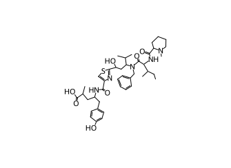 CCC(C)C(NC(=O)C1CCCCN1C)C(=O)N(Cc1ccccc1)C(CC(O)c1nc(C(=O)NC(Cc2ccc(O)cc2)CC(C)C(=O)O)cs1)C(C)C